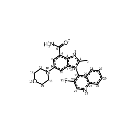 Cc1nc2c(C(N)=O)cc(N3CCOCC3)cc2n1-c1c(F)cnc2ccccc12